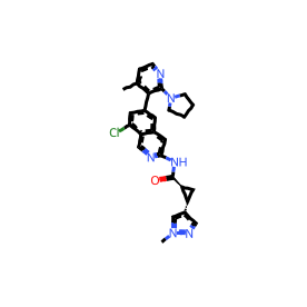 Cc1ccnc(N2CCCC2)c1-c1cc(Cl)c2cnc(NC(=O)[C@H]3C[C@@H]3c3cnn(C)c3)cc2c1